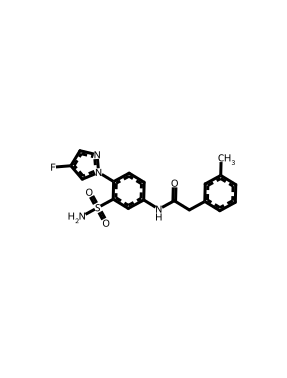 Cc1cccc(CC(=O)Nc2ccc(-n3cc(F)cn3)c(S(N)(=O)=O)c2)c1